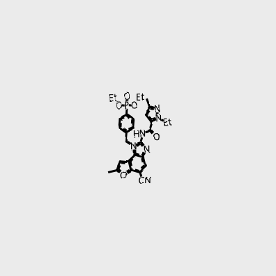 CCOP(=O)(OCC)c1ccc(Cn2c(NC(=O)c3cc(C)nn3CC)nc3cc(C#N)c4oc(C)cc4c32)cc1